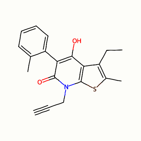 C#CCn1c(=O)c(-c2ccccc2C)c(O)c2c(CC)c(C)sc21